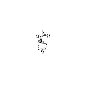 CC(=[18O])[13CH2][15N]1CCN(C)CC1